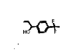 CCC(O)c1ccc(C(C)(F)F)cc1